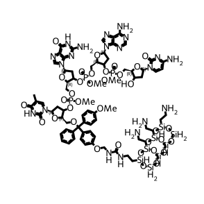 COc1ccc(C(OC[C@H]2O[C@@H](n3cc(C)c(=O)[nH]c3=O)CC2OP(=O)(OC)OC[C@H]2O[C@@H](n3cnc4c(=O)[nH]c(N)nc43)CC2OP(=O)(OC)OC[C@H]2O[C@@H](n3cnc4c(N)ncnc43)CC2OP(=O)(OC)OC[C@H]2O[C@@H](n3ccc(N)nc3=O)CC2O)(c2ccccc2)c2ccc(OCNC(=O)NCC[SiH]3O[SiH2]O[SiH]4O[SiH]5O[SiH2]O[SiH](CCN)O[Si](CCN)(O5)O[Si](CCN)(O3)O4)cc2)cc1